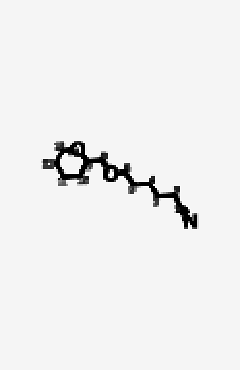 N#CCCCCCOCC1CCCCO1